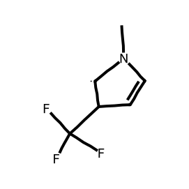 CN1[CH]C(C(F)(F)F)C=C1